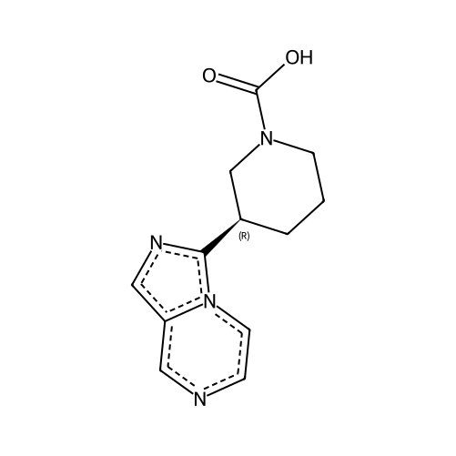 O=C(O)N1CCC[C@@H](c2ncc3cnccn23)C1